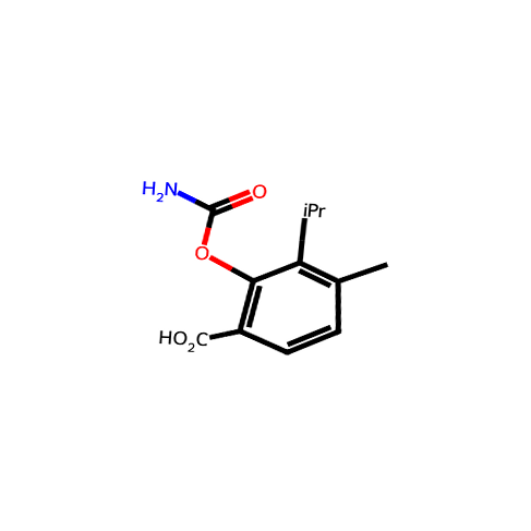 Cc1ccc(C(=O)O)c(OC(N)=O)c1C(C)C